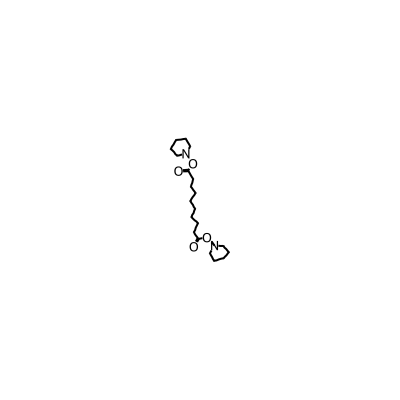 O=C(CCCCCCCCC(=O)ON1CCCCC1)ON1CCCCC1